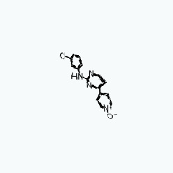 [O-][n+]1ccc(-c2ccnc(Nc3cccc(Cl)c3)n2)cc1